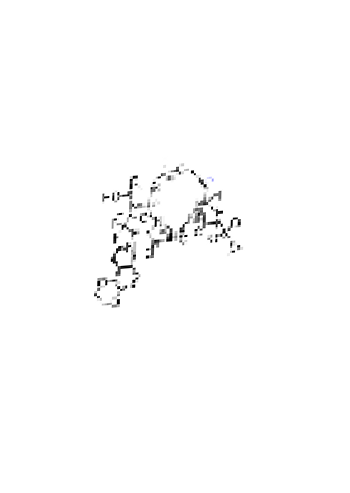 CC[C@@H]1C[C@H](C)CC/C=C\[C@@H]2C[C@@]2(C(=O)NS(=O)(=O)C2CC2)NC(=O)[C@@H]2C[C@@H](Oc3nccc4c5c(ccc34)OCCO5)CN2C(=O)[C@H]1N(C(=O)O)C(C)(C)C(F)(F)F